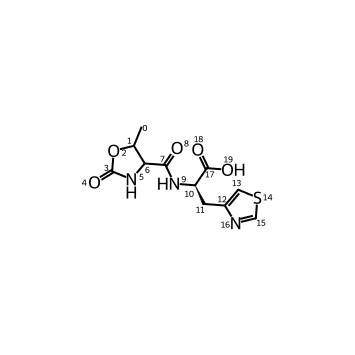 CC1OC(=O)NC1C(=O)N[C@H](Cc1cscn1)C(=O)O